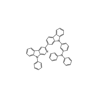 c1ccc(N(c2ccccc2)c2cccc(-n3c4ccccc4c4ccc(-c5cc6c7ccccc7n(-c7ccccc7)c6cn5)cc43)c2)cc1